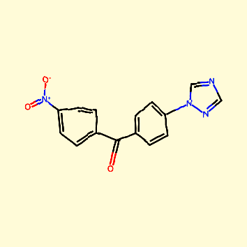 O=C(c1ccc(-n2cncn2)cc1)c1ccc([N+](=O)[O-])cc1